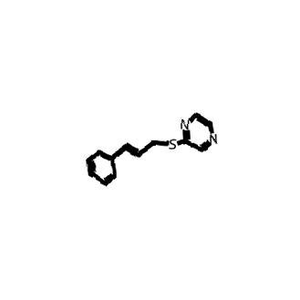 C(=Cc1ccccc1)CSc1cnccn1